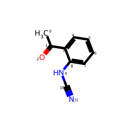 CC(=O)c1ccccc1NC#N